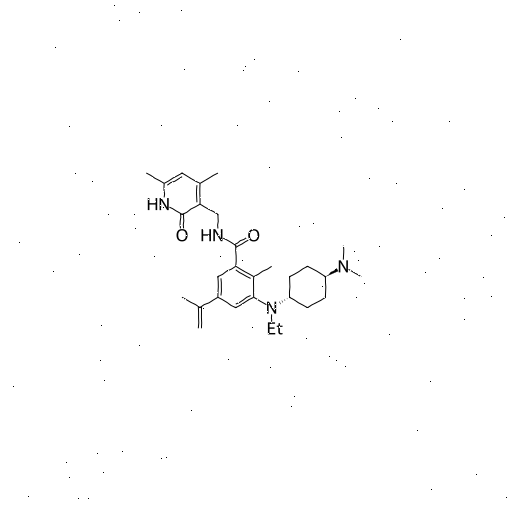 C=C(C)c1cc(C(=O)NCc2c(C)cc(C)[nH]c2=O)c(C)c(N(CC)[C@H]2CC[C@H](N(C)C)CC2)c1